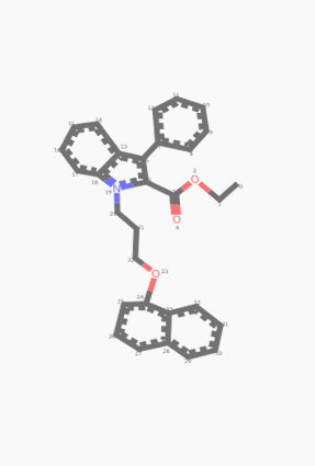 CCOC(=O)c1c(-c2ccccc2)c2ccccc2n1CCCOc1cccc2ccccc12